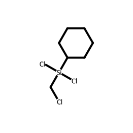 ClC[Si](Cl)(Cl)C1CCCCC1